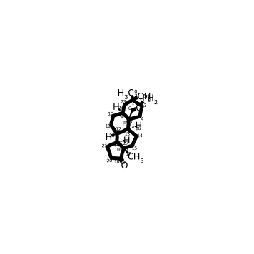 C[C@@]1(O)CC[C@@]2(COP)[C@@H](CC[C@@H]3[C@@H]2CC[C@]2(C)C(=O)CC[C@@H]32)C1